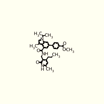 CCCc1cc(C)[nH]c(=O)c1CNC(=O)c1cc(-c2ccc(C(=O)OC)cc2)cc2c1c(C)cn2C(C)C